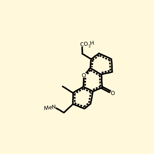 CNCc1ccc2c(=O)c3cccc(CC(=O)O)c3oc2c1C